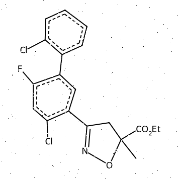 CCOC(=O)C1(C)CC(c2cc(-c3ccccc3Cl)c(F)cc2Cl)=NO1